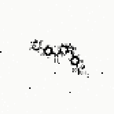 NS(=O)(=O)c1ccc(-c2csc3cnc(Nc4ccc(N5CCOCC5)cc4)nc23)cc1